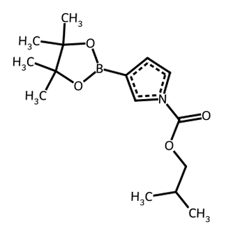 CC(C)COC(=O)n1ccc(B2OC(C)(C)C(C)(C)O2)c1